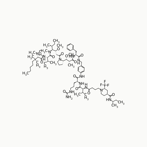 CCCCCC(C)(C)[C@@H](C(=O)N[C@H](C(=O)N(C)[C@@H]([C@@H](C)CC)[C@@H](CC(=O)N1CCC[C@H]1[C@H](OC)[C@@H](C)C(=O)N[C@@H](Cc1ccccc1)C(=O)NCc1ccc(NC(=O)[C@H](CCCNC(N)=O)NC(=O)[C@@H](NC(=O)CCCN2CC[C@H](C(=O)NC(C)CC)C[C@@H]2C(F)(F)F)C(C)C)cc1)OC)C(C)C)N(C)C